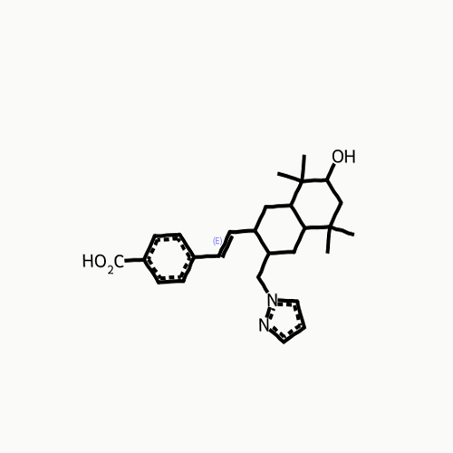 CC1(C)CC(O)C(C)(C)C2CC(/C=C/c3ccc(C(=O)O)cc3)C(Cn3cccn3)CC21